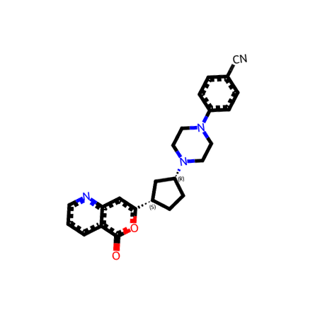 N#Cc1ccc(N2CCN([C@@H]3CC[C@H](c4cc5ncccc5c(=O)o4)C3)CC2)cc1